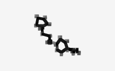 N[C@H]1CC[C@H](OCCN2CCCC2)CC1